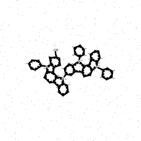 N#Cc1ccc2c3c(ccc4c5ccccc5n(-c5ccc6c(c5)c5ccc7c(c8ccccc8n7-c7ccccc7)c5n6-c5ccccc5)c43)n(-c3ccccc3)c2c1